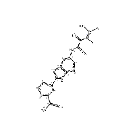 C/C(N)=C(\C)C(=N)C(=O)Nc1cnc2[nH]c(-c3ccnc(C(N)=O)c3)cc2c1